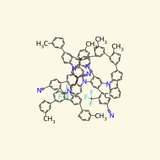 Cc1ccc(-c2ccc3c4ccccc4n(-c4cc(-c5ccc(C#N)cc5C(F)(F)F)c(-n5c6ccccc6c6ccc(-c7ccc(C)c(-c8cc(C)cc(-c9ccc%10c(c9)c9cc(-c%11cccc(C)c%11)ccc9n%10-c9cc(-c%10ccc(C#N)cc%10C(F)(F)F)c(-n%10c%11ccc(-c%12cccc(C)c%12)cc%11c%11cc(-c%12cccc(C)c%12)ccc%11%10)cc9C#N)c8)c7)cc65)cc4C#N)c3c2)cc1